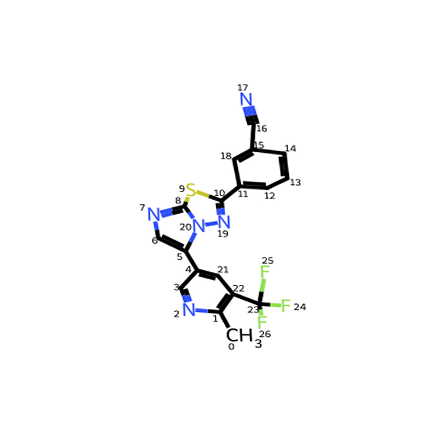 Cc1ncc(-c2cnc3sc(-c4cccc(C#N)c4)nn23)cc1C(F)(F)F